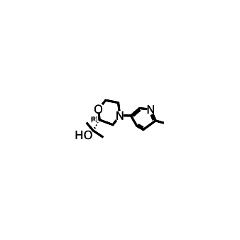 Cc1ccc(N2CCO[C@@H](C(C)(C)O)C2)cn1